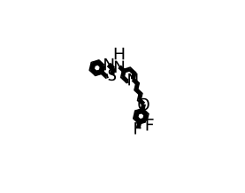 Fc1ccc(OCCCCN2CCC(NC3=Nc4ccccc4CS3)CC2)cc1F